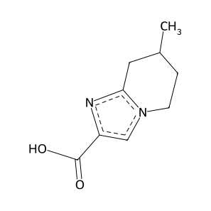 CC1CCn2cc(C(=O)O)nc2C1